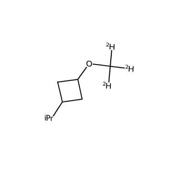 [2H]C([2H])([2H])OC1CC(C(C)C)C1